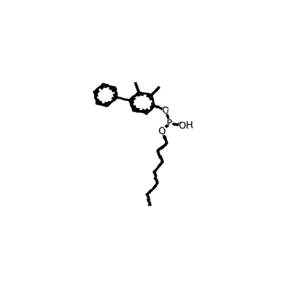 CCCCCCCOP(O)Oc1ccc(-c2ccccc2)c(C)c1C